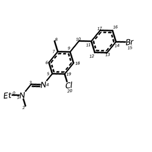 CCN(C)C=Nc1cc(C)c(Cc2ccc(Br)cc2)cc1Cl